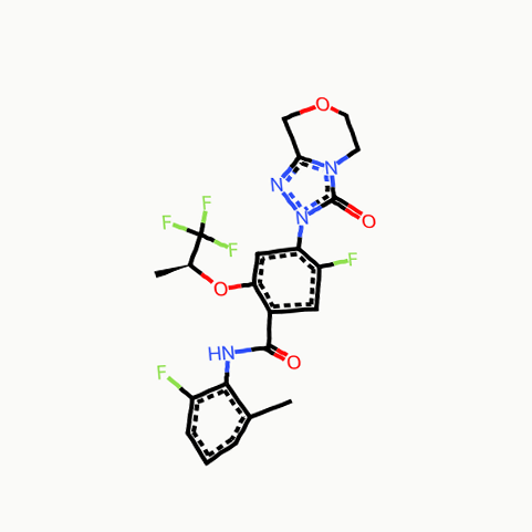 Cc1cccc(F)c1NC(=O)c1cc(F)c(-n2nc3n(c2=O)CCOC3)cc1O[C@@H](C)C(F)(F)F